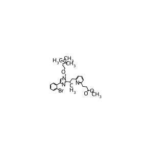 COC(=O)CCc1cccc(CC(C)c2nc(-c3ccccc3Br)cn2COCC[Si](C)(C)C)n1